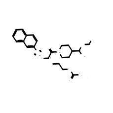 CCOC(O)C1CCN(C(=O)[C@H](CCCNC(=N)N)NS(=O)(=O)c2ccc3ccccc3c2)CC1